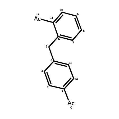 CC(=O)c1ccc(Cc2ccccc2C(C)=O)cc1